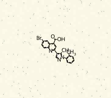 Cc1ccccc1-n1ncc(-c2cc(C(=O)O)c3cc(Br)ccc3n2)c1C